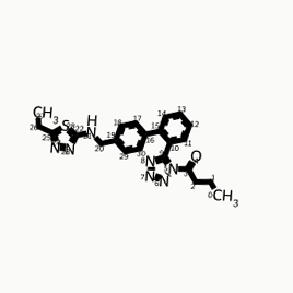 CCCC(=O)n1nnnc1-c1ccccc1-c1ccc(CNc2nnc(CC)s2)cc1